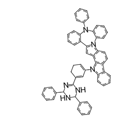 C1=C(C2=NC(c3ccccc3)NC(c3ccccc3)N2)CCC=C1n1c2ccccc2c2ccc3c(cc4n3-c3ccccc3N(c3ccccc3)c3ccccc3-4)c21